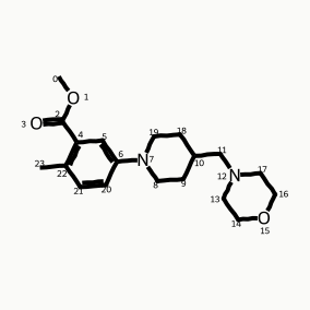 COC(=O)c1cc(N2CCC(CN3CCOCC3)CC2)ccc1C